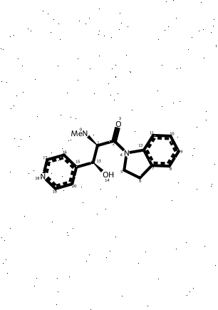 CN[C@@H](C(=O)N1CCc2ccccc21)[C@@H](O)c1ccncc1